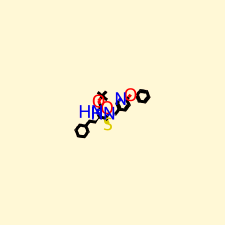 CC(C)(C)OC(=O)N[C@H](CCC1CCCCC1)C(=S)NCc1ccc(Oc2ccccc2)nc1